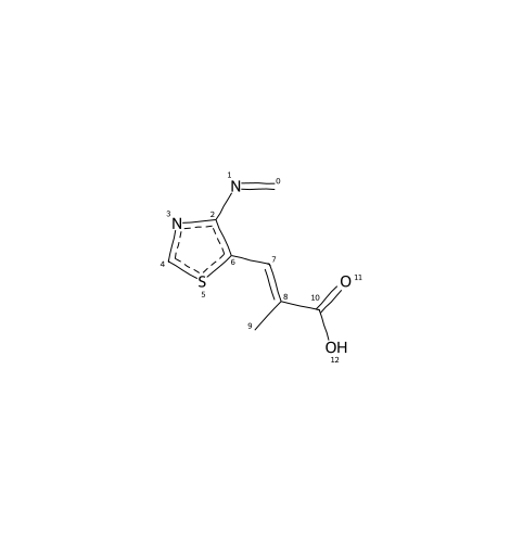 C=Nc1ncsc1/C=C(\C)C(=O)O